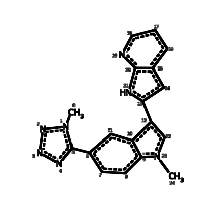 Cn1nnnc1-c1ccc2c(c1)c(-c1cc3cccnc3[nH]1)cn2C